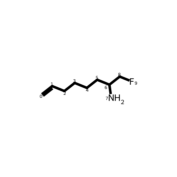 C=CCCCCC(N)CF